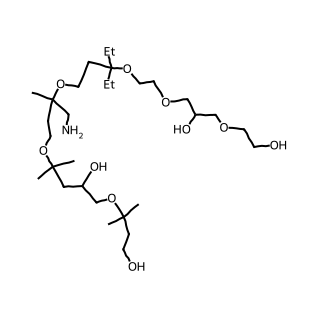 CCC(CC)(CCOC(C)(CN)CCOC(C)(C)CC(O)COC(C)(C)CCO)OCCOCC(O)COCCO